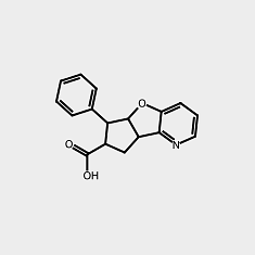 O=C(O)C1CC2c3ncccc3OC2C1c1ccccc1